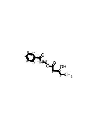 CC[C@@H](O)CC(=O)OCNC(=O)c1ccccc1